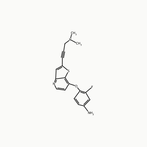 CN(C)CC#Cc1cc2nccc(Oc3ccc(N)cc3F)c2s1